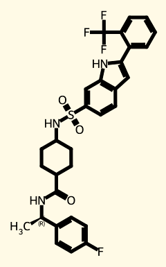 C[C@@H](NC(=O)C1CCC(NS(=O)(=O)c2ccc3cc(-c4ccccc4C(F)(F)F)[nH]c3c2)CC1)c1ccc(F)cc1